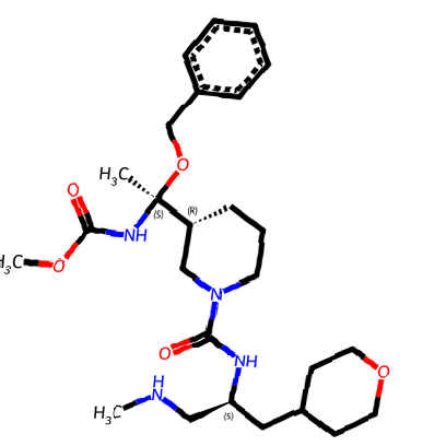 CNC[C@H](CC1CCOCC1)NC(=O)N1CCC[C@@H]([C@@](C)(NC(=O)OC)OCc2ccccc2)C1